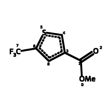 COC(=O)c1csc(C(F)(F)F)c1